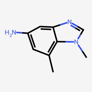 Cc1cc(N)cc2ncn(C)c12